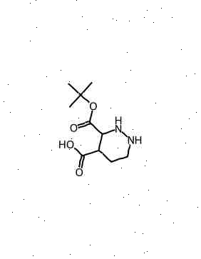 CC(C)(C)OC(=O)C1NNCCC1C(=O)O